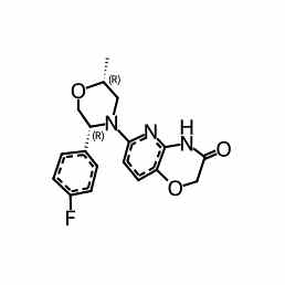 C[C@@H]1CN(c2ccc3c(n2)NC(=O)CO3)[C@H](c2ccc(F)cc2)CO1